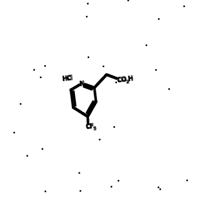 Cl.O=C(O)Cc1cc(C(F)(F)F)ccn1